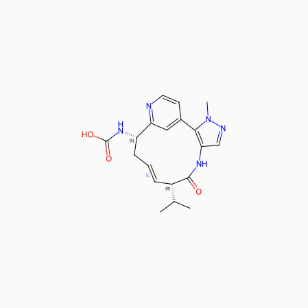 CC(C)[C@@H]1/C=C/C[C@H](NC(=O)O)c2cc(ccn2)-c2c(cnn2C)NC1=O